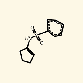 O=S(=O)(NC1=CCCC1)c1ccccc1